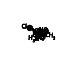 COc1cccc(OC)c1-n1c(NS(=O)(=O)CCc2ccc(Cl)cc2)nnc1[C@@H]1CCCO1